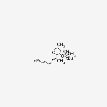 CCC/C=C/C=C\C=C(/C)[C@@H]1OC[C@H](C)C[C@H]1O[Si](C)(C)C(C)(C)C